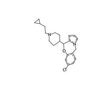 Clc1ccc2c(c1)OC(C1CCN(CCC3CC3)CC1)c1cccn1C2